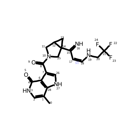 Cc1c[nH]c(=O)c2c(C(=O)N3CC4CC4(C(=N)/C=C\NCC(F)(F)F)C3)c[nH]c12